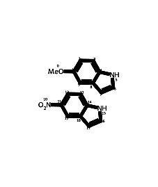 COc1ccc2[nH]ccc2c1.O=[N+]([O-])c1ccc2[nH]ccc2c1